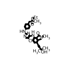 CCOP(C)(=O)Cc1ccc(Nc2ncc(C(F)(F)F)c(Nc3ccc(C#CC(C)(C)O)c4c3C(=O)N(C)C4)n2)cc1